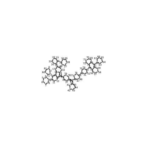 c1ccc(-c2ccccc2-c2ccc3c(c2)c2cc(-c4ccccc4-c4ccccc4)ccc2n3-c2ccc(N(c3ccccc3)c3ccc(-c4ccc(-c5c6ccccc6c(-c6ccccc6)c6ccccc56)cc4)cc3)cc2)cc1